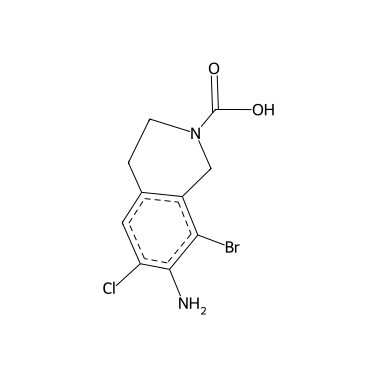 Nc1c(Cl)cc2c(c1Br)CN(C(=O)O)CC2